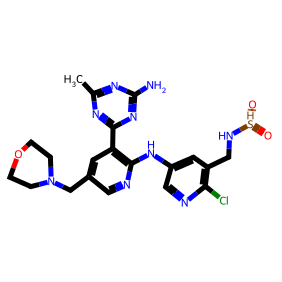 Cc1nc(N)nc(-c2cc(CN3CCOCC3)cnc2Nc2cnc(Cl)c(CN[SH](=O)=O)c2)n1